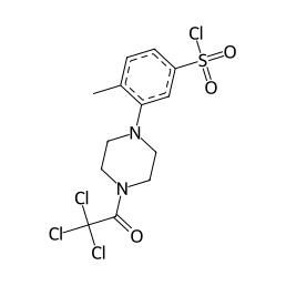 Cc1ccc(S(=O)(=O)Cl)cc1N1CCN(C(=O)C(Cl)(Cl)Cl)CC1